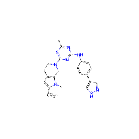 Cc1nc(Nc2ccc(-c3cn[nH]c3)cc2)nc(N2CCc3cc(C(=O)O)n(C)c3C2)n1